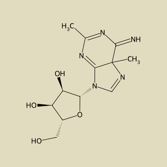 CC1=NC(=N)C2(C)N=CN([C@@H]3O[C@H](CO)[C@@H](O)[C@H]3O)C2=N1